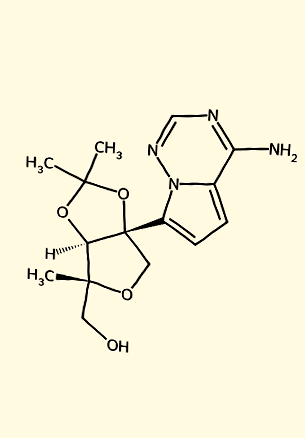 CC1(C)O[C@@H]2[C@@](C)(CO)OC[C@@]2(c2ccc3c(N)ncnn23)O1